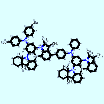 Cc1c(C)n2c3c(cccc13)B1c3cccc4c3N(c3cc(N(c5ccccc5)c5ccc(-c6ccc7c8c6c(C)c(C)n8-c6cc(N(c8ccc(C(C)(C)C)cc8)c8ccc(C(C)(C)C)cc8)cc8c6B7c6cccc7c6N8C6(C)CCCCC76C)cc5)cc-2c31)C1(C)CCCCC41C